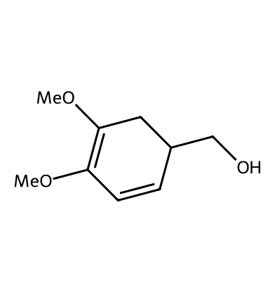 COC1=C(OC)CC(CO)C=C1